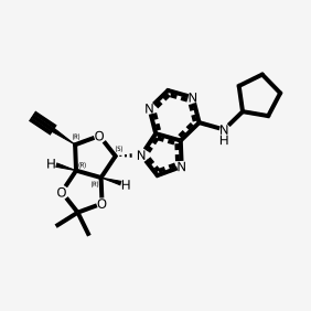 C#C[C@H]1O[C@H](n2cnc3c(NC4CCCC4)ncnc32)[C@@H]2OC(C)(C)O[C@@H]21